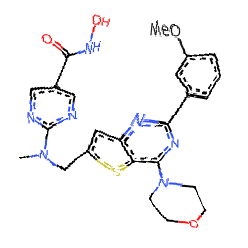 COc1cccc(-c2nc(N3CCOCC3)c3sc(CN(C)c4ncc(C(=O)NO)cn4)cc3n2)c1